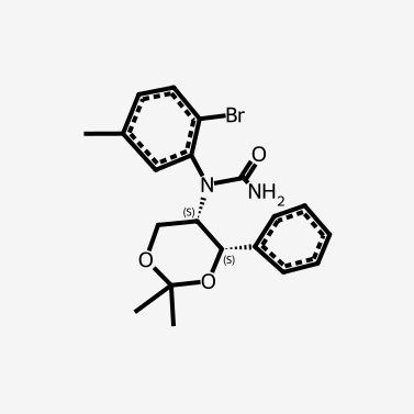 Cc1ccc(Br)c(N(C(N)=O)[C@H]2COC(C)(C)O[C@H]2c2ccccc2)c1